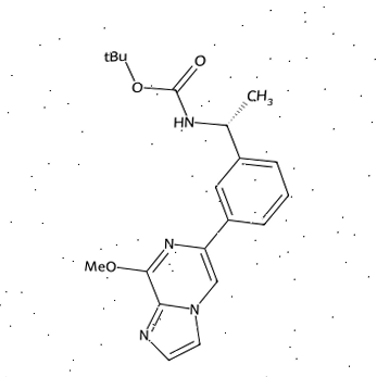 COc1nc(-c2cccc([C@@H](C)NC(=O)OC(C)(C)C)c2)cn2ccnc12